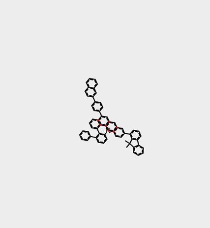 CC1(C)c2ccccc2-c2cccc(-c3ccc(N(c4ccc(-c5ccc(-c6ccc7ccccc7c6)cc5)cc4)c4cccc(-c5ccccc5)c4-c4ccccc4-c4ccccc4)cc3)c21